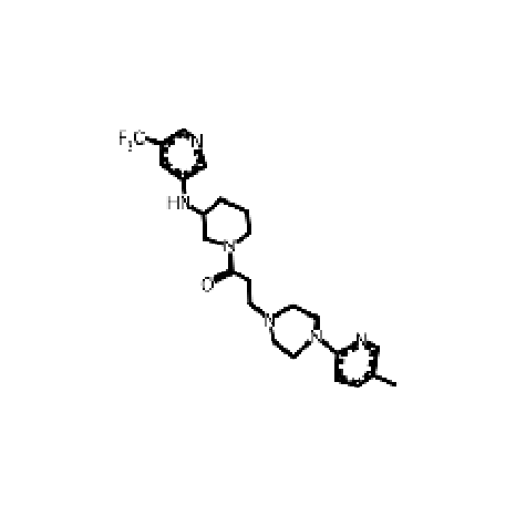 Cc1ccc(N2CCN(CCC(=O)N3CCCC(Nc4cncc(C(F)(F)F)c4)C3)CC2)nc1